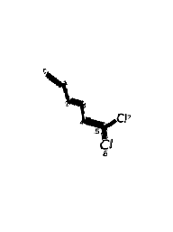 C=CC=CC=C(Cl)Cl